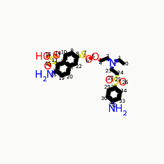 CCN(CCOOSc1ccc2c(S(=O)(=O)O)c(N)ccc2c1)CCS(=O)(=O)c1ccc(N)cc1